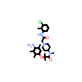 Cc1cc(OC(C)(C)C(=O)N(C)C2CCN(CC(=O)Nc3cccc(Cl)c3C)CC2)c(C)c(C)c1N